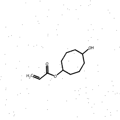 C=CC(=O)OC1CCCC(O)CCC1